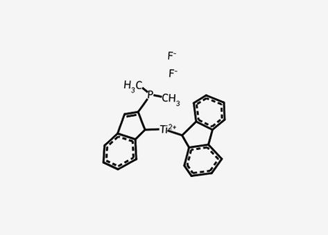 CP(C)C1=Cc2ccccc2[CH]1[Ti+2][CH]1c2ccccc2-c2ccccc21.[F-].[F-]